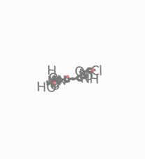 CC(C)[C@@H](NS(=O)(=O)N1CCN(c2ccc(C#Cc3ccc4[nH]c(=O)n(Cc5ccc(Cl)cc5)c(=O)c4c3)cc2)CC1)C(=O)O